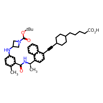 Cc1ccc(NC2CN(C(=O)OC(C)(C)C)C2)cc1C(=O)N[C@H](C)c1ccc(C#CC2CCC(CCCCC(=O)O)CC2)c2ccccc12